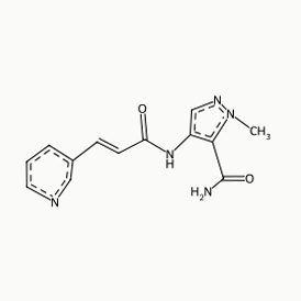 Cn1ncc(NC(=O)/C=C/c2cccnc2)c1C(N)=O